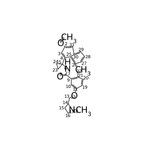 COc1cc(C2(NC(=O)c3cc(OCC4CCN4C)ccc3C)CC2)c2ccccc2c1